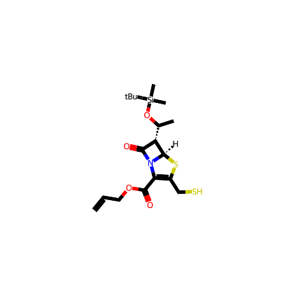 C=CCOC(=O)C1=C(CS)S[C@@H]2[C@@H](C(C)O[Si](C)(C)C(C)(C)C)C(=O)N12